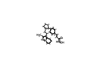 Cc1nn2ccccc2c1CCN1CCCC1c1ccc(C=CC(=O)NO)cc1